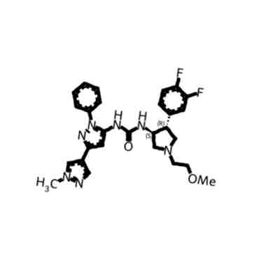 COCCN1C[C@@H](NC(=O)Nc2cc(-c3cnn(C)c3)nn2-c2ccccc2)[C@H](c2ccc(F)c(F)c2)C1